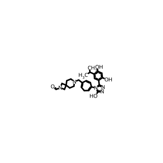 CC(C)c1cc(-c2nnc(O)n2C2=CCC=C(CN3CCC4(CC3)CN(C=O)C4)C=C2)c(O)cc1O